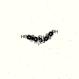 CC(CC(C)Oc1ccc(S(=O)(=O)c2ccc(O)cc2)cc1)Oc1ccc(S(=O)(=O)c2ccc(O)cc2)cc1